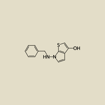 Oc1csc2c1ccn2NCc1ccccc1